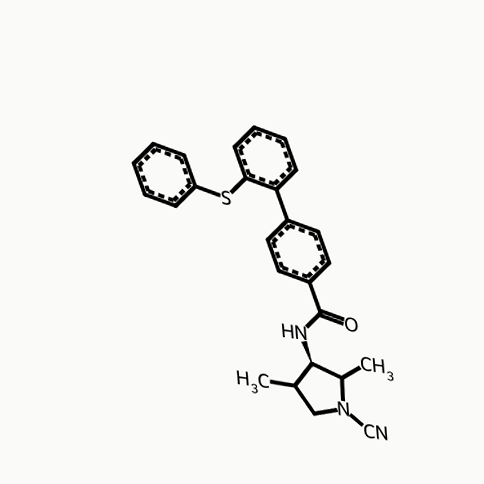 CC1CN(C#N)C(C)[C@@H]1NC(=O)c1ccc(-c2ccccc2Sc2ccccc2)cc1